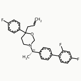 C=CCC1(c2ccc(F)cc2)CCN([C@@H](C)c2ccc(-c3ccc(F)cc3F)cc2)CO1